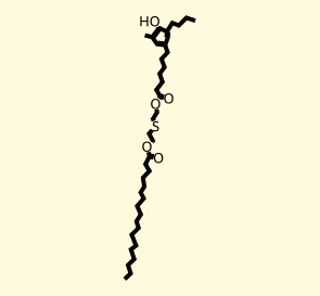 CCCCCCCCCCCCCCCCCC(=O)OCCSCCOC(=O)CCCCCCc1cc(C)c(O)c(CCCC)c1